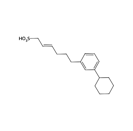 O=S(=O)(O)CC=CCCCc1cccc(C2CCCCC2)c1